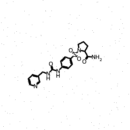 NC(=O)C1CCCN1S(=O)(=O)c1ccc(NC(=O)NCc2cccnc2)cc1